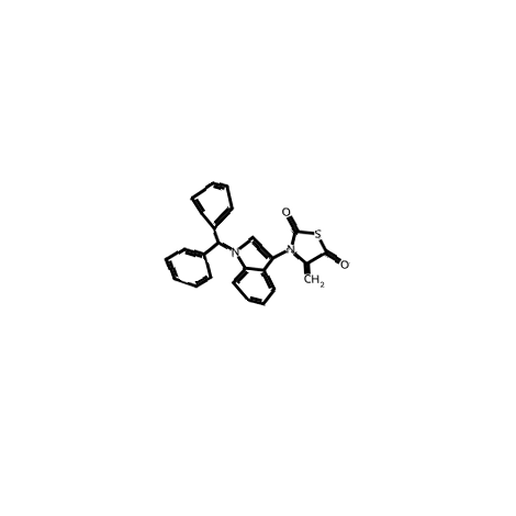 C=C1C(=O)SC(=O)N1c1cn(C(c2ccccc2)c2ccccc2)c2ccccc12